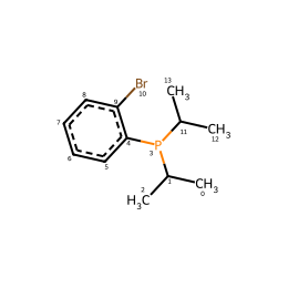 CC(C)P(c1ccccc1Br)C(C)C